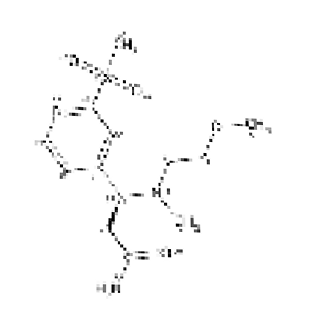 COCCN(C)[C@@H](CC(N)=O)c1ccnc(S(C)(=O)=O)c1